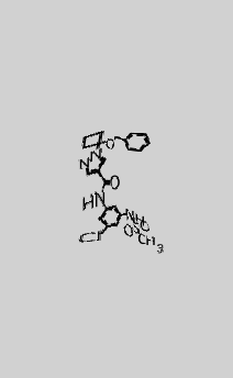 CS(=O)(=O)Nc1cc(Cl)cc(NC(=O)c2cnn(C3(OCc4ccccc4)CCC3)c2)c1